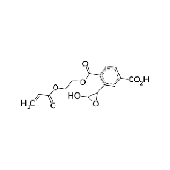 C=CC(=O)OCCOC(=O)c1ccc(C(=O)O)cc1C1OC1O